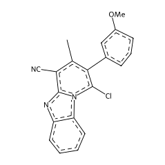 COc1cccc(-c2c(C)c(C#N)c3nc4ccccc4n3c2Cl)c1